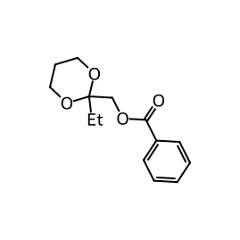 CCC1(COC(=O)c2ccccc2)OCCCO1